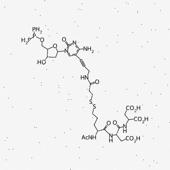 CC(=O)NC(CCCSSCCC(=O)NCC#Cc1cn(C2CC(O)C(COP(P)P)O2)c(=O)nc1N)C(=O)NC(CC(=O)O)C(=O)NC(CC(=O)O)C(=O)O